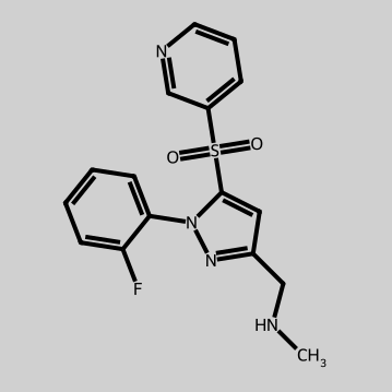 CNCc1cc(S(=O)(=O)c2cccnc2)n(-c2ccccc2F)n1